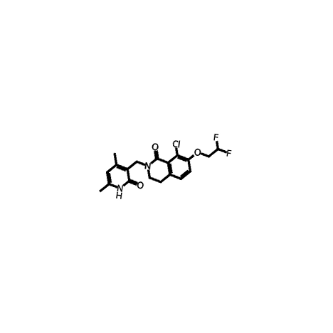 Cc1cc(C)c(CN2CCc3ccc(OCC(F)F)c(Cl)c3C2=O)c(=O)[nH]1